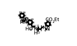 CCOC(=O)c1ccc2ncn(CCC(C)(C)NCC(O)c3cccc(NS(=O)(=O)c4ccccc4)c3)c2c1